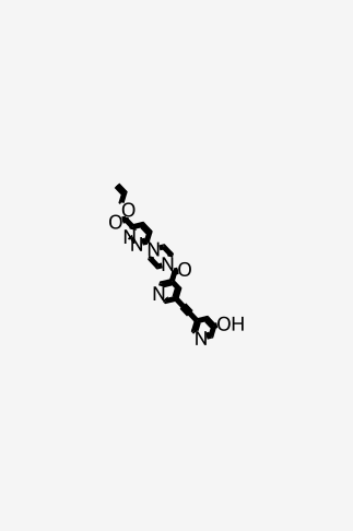 C=CCOC(=O)c1ccc(N2CCN(C(=O)c3cncc(C#Cc4cncc(O)c4)c3)CC2)nn1